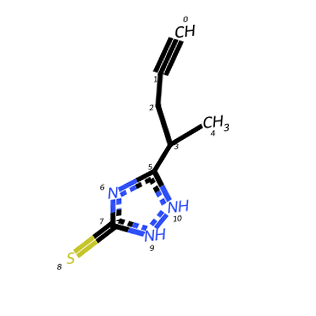 C#CCC(C)c1nc(=S)[nH][nH]1